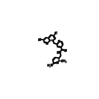 Cc1nc(N)ccc1CNC(=O)c1ccnc(Cc2cc(Cl)cc3cc(Cl)cnc23)c1